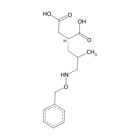 CC(CNOCc1ccccc1)C[C@H](CC(=O)O)C(=O)O